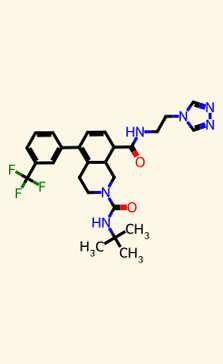 CC(C)(C)NC(=O)N1CCC2=C(c3cccc(C(F)(F)F)c3)C=CC(C(=O)NCCn3cnnc3)C2C1